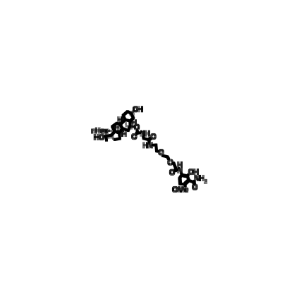 CCCCCC[C@](C)(O)[C@H]1CC[C@H]2[C@@H]3C[C@H](OC(=O)NCC(=O)NCCOCCOCC(=O)Nc4ccc(OC)c(C(N)=O)c4O)[C@H]4C[C@@H](O)CC[C@]4(C)[C@H]3CC[C@@]21C